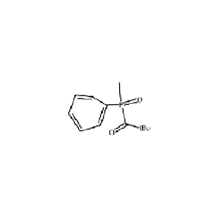 CC(C)(C)C(=O)P(C)(=O)c1ccccc1